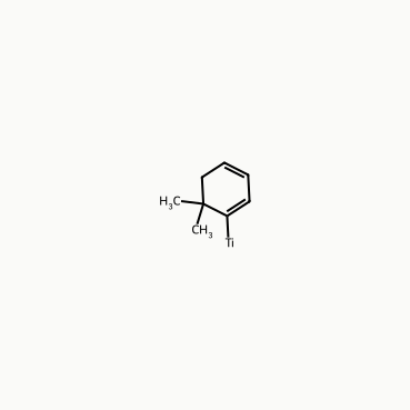 CC1(C)CC=CC=[C]1[Ti]